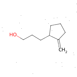 C=C1CCCC1CCCO